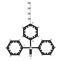 I.I.I.I.O=P(c1ccccc1)(c1ccccc1)c1ccccc1